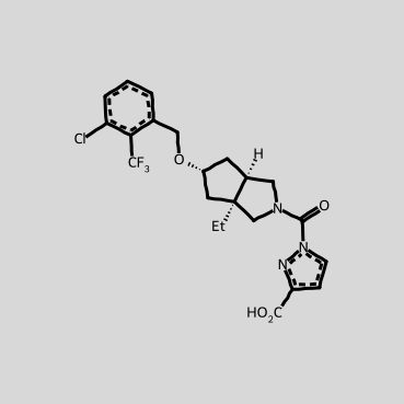 CC[C@]12C[C@H](OCc3cccc(Cl)c3C(F)(F)F)C[C@H]1CN(C(=O)n1ccc(C(=O)O)n1)C2